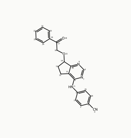 N#Cc1ccc(Nc2ncnc3c2CCC3OCC(=O)c2ccccc2)cc1